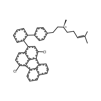 CC(C)=CCC[C@H](C)CCc1ccc(-c2ccccc2-c2cc(Cl)c3c4cccc5cccc(c6c(Cl)ccc2c63)c54)cc1